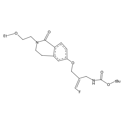 CCOCCN1CCc2cc(OC/C(=C/F)CNC(=O)OC(C)(C)C)ccc2C1=O